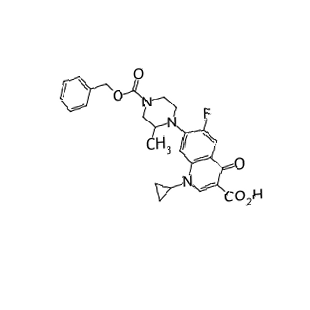 CC1CN(C(=O)OCc2ccccc2)CCN1c1cc2c(cc1F)c(=O)c(C(=O)O)cn2C1CC1